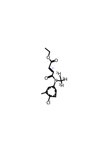 [2H]C([2H])([2H])N(C(=O)/C=C/C(=O)OCC)c1ccc(Cl)c(C)c1